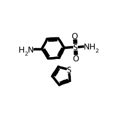 Nc1ccc(S(N)(=O)=O)cc1.c1ccsc1